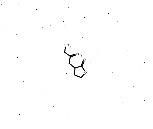 C=C(CC)CC1CCOC1=O